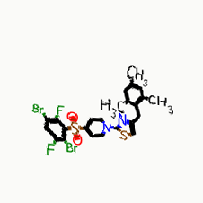 Cc1cc(C)c(Cc2csc(N3CCC(S(=O)(=O)c4c(F)c(Br)cc(F)c4Br)CC3)n2)c(C)c1